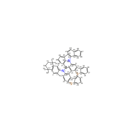 Cc1cc2c(cc1N1B3c4c(cc5c(sc6ccccc65)c4-c4c1ccc1sc5ccccc5c41)-n1c4c3cccc4c3ccc4ccccc4c31)C(C)(C)CCC2(C)C